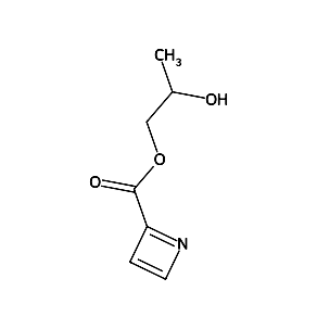 CC(O)COC(=O)C1=NC=C1